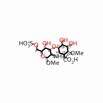 CO[C@@H]1OC(COS(=O)(=O)O)[C@H](O)[C@H](O[C@@H]2CC(C(=O)O)[C@@H](OC)[C@H](O)C2O)C1NC(C)=O